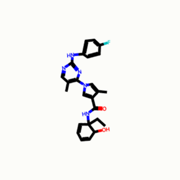 CCC1(NC(=O)c2cn(-c3nc(Nc4ccc(F)cc4)ncc3C)cc2C)C=CC=CC1O